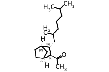 CC(=O)[C@H]1[C@H]2CC[C@H](C2)[C@@H]1CC(C)CCCC(C)C